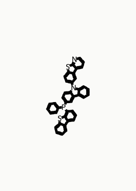 c1ccc(P(c2ccc3c(c2)c2ccccc2n3-c2ccc3sc4ncccc4c3c2)c2cccc3c2sc2ccccc23)cc1